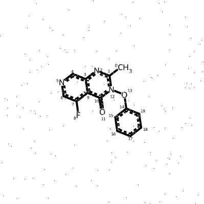 Cc1nc2cncc(F)c2c(=O)n1Oc1ccccc1